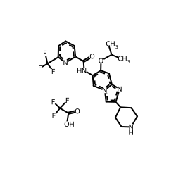 CC(C)Oc1cc2nc(C3CCNCC3)cn2cc1NC(=O)c1cccc(C(F)(F)F)n1.O=C(O)C(F)(F)F